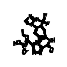 CCO/C(c1nnc2c(=O)[nH]c3cc(C(F)(F)F)c(-n4ccnc4)cc3n12)=[P+](/[O-])O